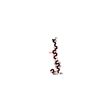 C=C1CC(CCC2CCC(C3C[C@@H](O)C4OC(CC(=O)OC5[C@H](C)O[C@H]6C[C@H]7OC(CC(OOC8CCCOC8C(C)C)C(OC)[C@@H](C)CC)C[C@H]7O[C@H]6[C@@H]5C)CCC4O3)O2)O[C@H]1CC